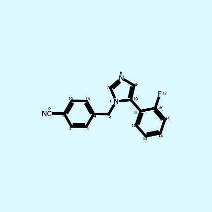 N#Cc1ccc(Cn2cncc2-c2ccccc2F)cc1